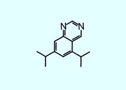 CC(C)c1cc(C(C)C)c2cncnc2c1